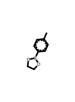 Cc1ccc(B2OCCO2)cc1